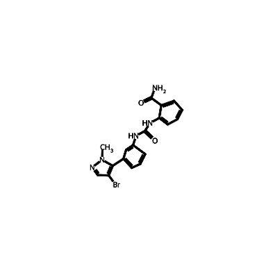 Cn1ncc(Br)c1-c1cccc(NC(=O)Nc2ccccc2C(N)=O)c1